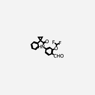 O=Cc1ccc(NC(=O)C2(c3ccccc3)CC2)cc1OC(F)F